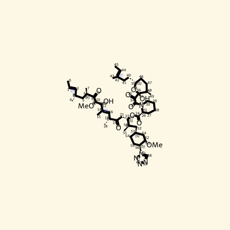 C/C=C/[C@@H](C)C[C@@H](C)C(=O)[C@H](OC)[C@H](O)/C(C)=C/[C@@H](C)C(=O)C[C@H](OC(=O)[C@@H]1CCCCN1C(=O)C(=O)[C@]1(O)O[C@H](CC/C(C)=C/C)CC[C@H]1C)[C@H](C)C[C@@H]1CC[C@H](n2cnnn2)[C@H](OC)C1